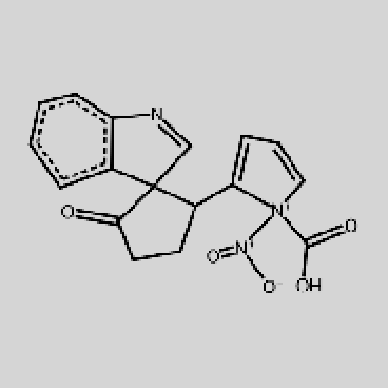 O=C1CCC(C2=CC=C[N+]2(C(=O)O)[N+](=O)[O-])C12C=Nc1ccccc12